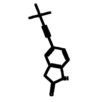 C[Si](C)(C)C#Cc1ccc2c(c1)CC(=O)N2